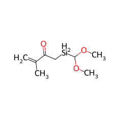 C=C(C)C(=O)C[SiH2]C(OC)OC